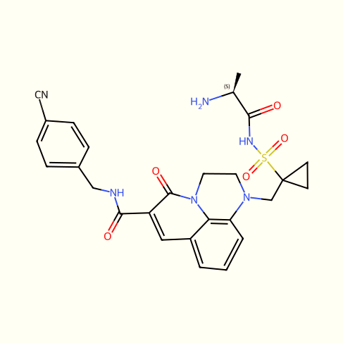 C[C@H](N)C(=O)NS(=O)(=O)C1(CN2CCn3c(=O)c(C(=O)NCc4ccc(C#N)cc4)cc4cccc2c43)CC1